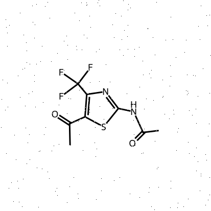 CC(=O)Nc1nc(C(F)(F)F)c(C(C)=O)s1